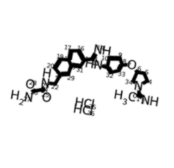 CC(=N)N1CCC(Oc2ccc(NC(=N)c3ccc4ccc(CNC(=O)C(N)=O)cc4c3)cc2)C1.Cl.Cl